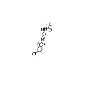 CC(C)(C)C(=O)NC1CC2(C1)CN(c1nc3cc(Cl)ccc3o1)C2